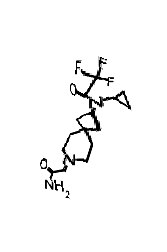 NC(=O)CN1CCC2(CC1)CC(N(C(=O)C(F)(F)F)C1CC1)C2